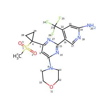 CS(=O)(=O)C1(c2cc(N3CCOCC3)nc(-c3cnc(N)cc3C(F)(F)F)n2)CC1